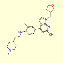 Cc1cc(-c2nc(C#N)nc3c2ccn3CC2CCOC2)ccc1NCCC1CCN(C)CC1